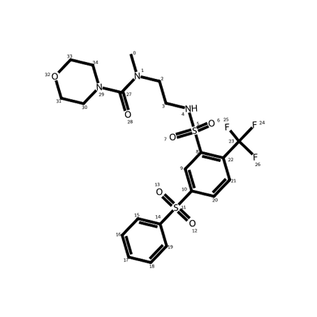 CN(CCNS(=O)(=O)c1cc(S(=O)(=O)c2ccccc2)ccc1C(F)(F)F)C(=O)N1CCOCC1